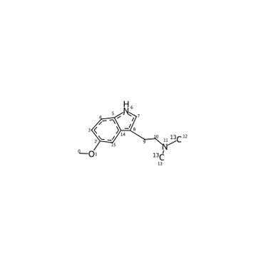 COc1ccc2[nH]cc(CCN([13CH3])[13CH3])c2c1